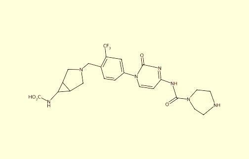 O=C(O)NC1C2CN(Cc3ccc(-n4ccc(NC(=O)N5CCNCC5)nc4=O)cc3C(F)(F)F)CC21